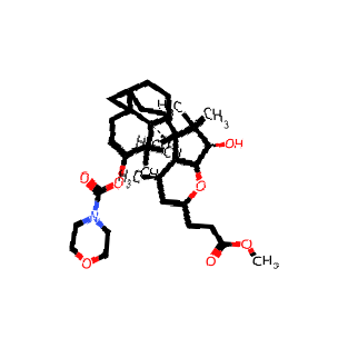 COC(=O)CCC1C[C@@H](C)C2C(O1)[C@H](O)C(C)(C)C2(C)CCC12CCC[C@H]3C(C)(C)C(OC(=O)N4CCOCC4)CCC31C2